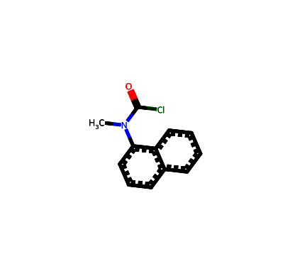 CN(C(=O)Cl)c1cccc2ccccc12